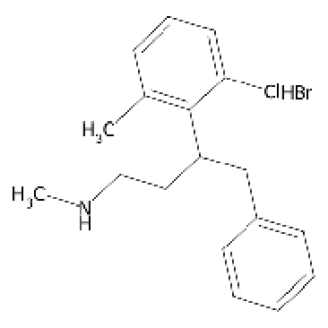 Br.CNCCC(Cc1ccccc1)c1c(C)cccc1Cl